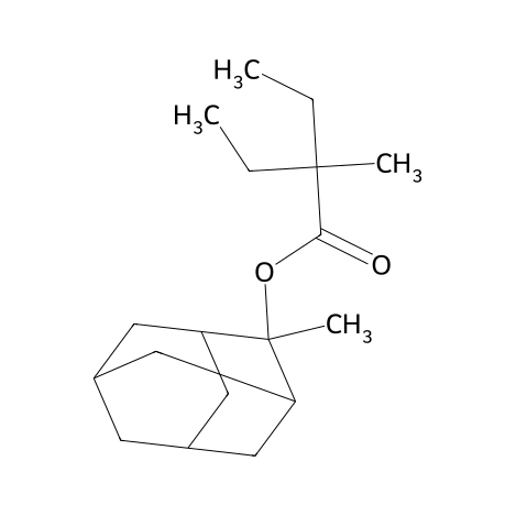 CCC(C)(CC)C(=O)OC1(C)C2CC3CC(C2)CC1C3